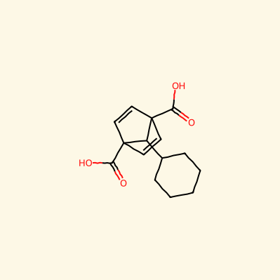 O=C(O)C12C=CC(C(=O)O)(C=C1)C2C1CCCCC1